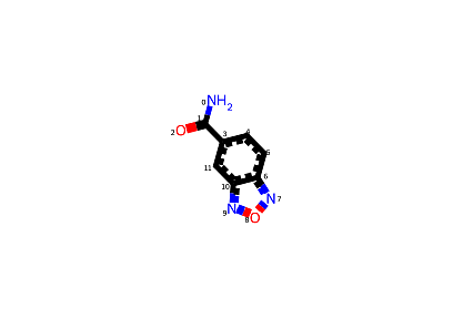 NC(=O)c1ccc2nonc2c1